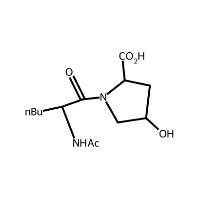 CCCCC(NC(C)=O)C(=O)N1CC(O)CC1C(=O)O